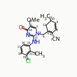 COc1cn(CC2=C(C#N)C=CC(C)C2)c(Nc2cccc(Cl)c2C)nc1=O